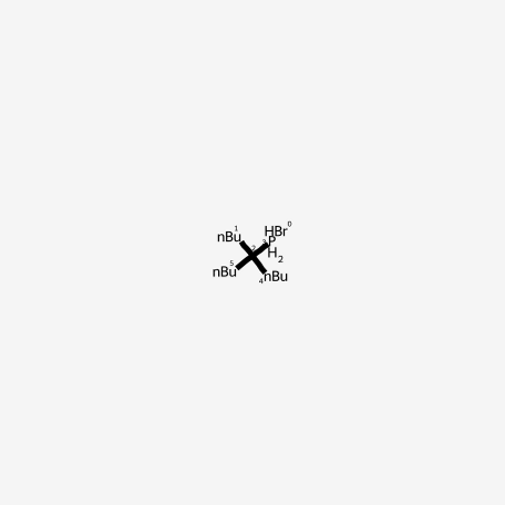 Br.CCCCC(P)(CCCC)CCCC